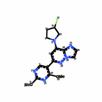 COc1ncc(-c2cc(N3CCC(F)C3)c3nccn3n2)c(OC)n1